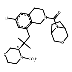 CC(C)(Cc1cc(Cl)cc2c1CN(C(=O)N1C3CCC1COC3)CC2)[C@@H]1COCCN1C(=O)O